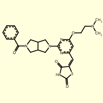 CN(C)CCOc1cc(C=C2SC(=O)NC2=O)nc(N2CC3CN(C(=O)c4ccccc4)CC3C2)n1